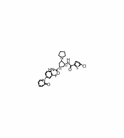 O=C(N[C@H]1C[C@@H](C(=O)Nc2ccc(-n3ccccc3=O)cc2F)CC1N1CCCC1)c1ccc(Cl)s1